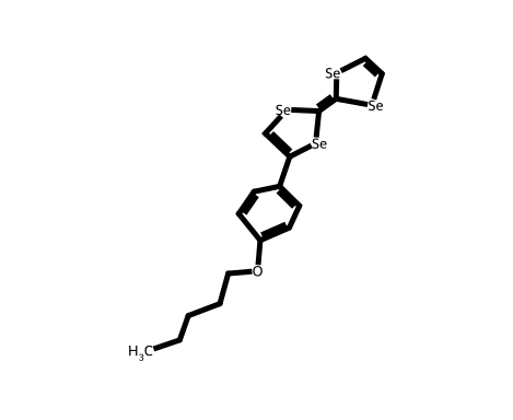 CCCCCOc1ccc(C2=C[Se]C(=C3[Se]C=C[Se]3)[Se]2)cc1